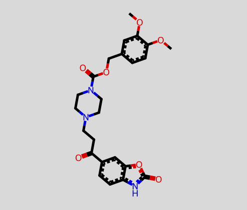 COc1ccc(COC(=O)N2CCN(CCC(=O)c3ccc4[nH]c(=O)oc4c3)CC2)cc1OC